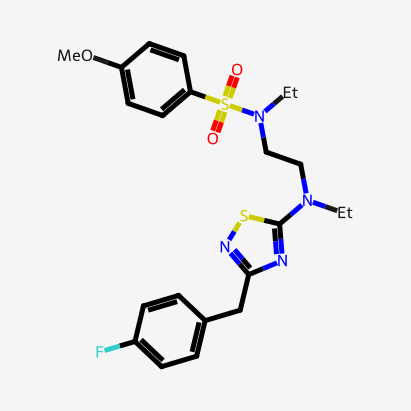 CCN(CCN(CC)S(=O)(=O)c1ccc(OC)cc1)c1nc(Cc2ccc(F)cc2)ns1